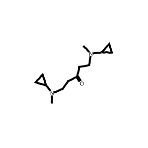 CN(CCC(=O)CCN(C)C1CC1)C1CC1